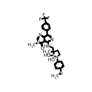 COc1ccc(N2CCC(C)(CNc3ncc(-c4ccc(C(F)(F)F)cc4)c4ncn(C)c(=O)c34)S2(O)O)cc1